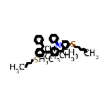 CCCCCSc1ccc(Cc2ccccc2)c(C(C)(C)c2cc3c(cc2C)C(C)(C)c2cc(SCCCCC)ccc2N3c2ccccc2)c1